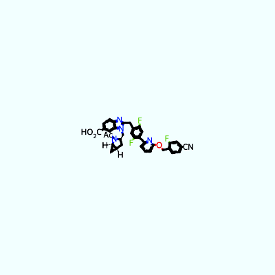 CC(=O)N1[C@@H](Cn2c(Cc3cc(F)c(-c4cccc(OCc5ccc(C#N)cc5F)n4)cc3F)nc3ccc(C(=O)O)cc32)C[C@H]2C[C@H]21